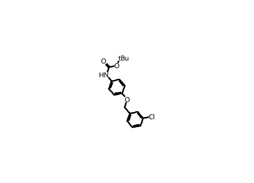 CC(C)(C)OC(=O)Nc1ccc(OCc2cccc(Cl)c2)cc1